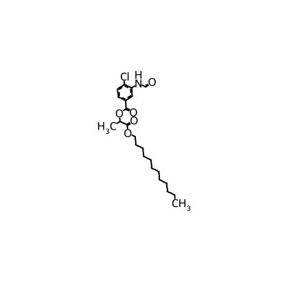 CCCCCCCCCCCCOC(=O)C(C)OC(=O)c1ccc(Cl)c(NC=O)c1